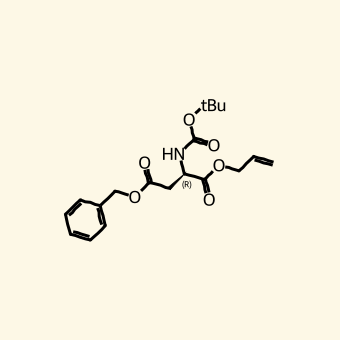 C=CCOC(=O)[C@@H](CC(=O)OCc1ccccc1)NC(=O)OC(C)(C)C